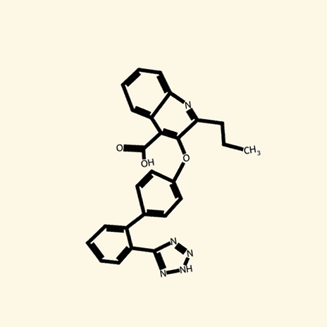 CCCc1nc2ccccc2c(C(=O)O)c1Oc1ccc(-c2ccccc2-c2nn[nH]n2)cc1